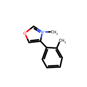 Cc1ccccc1-c1coc[n+]1C